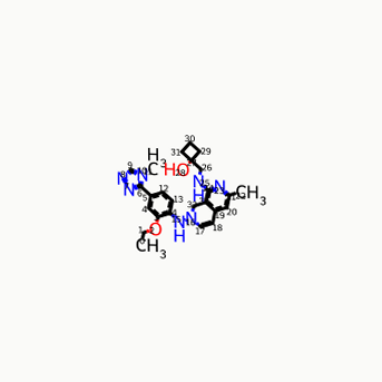 CCOc1cc(-c2nncn2C)ccc1NN1C=Cc2cc(C)nc(NCC3(O)CCC3)c2C1